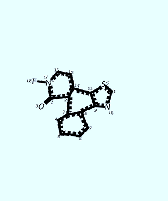 O=c1c2c3ccccc3c3ncsc3c2ccn1F